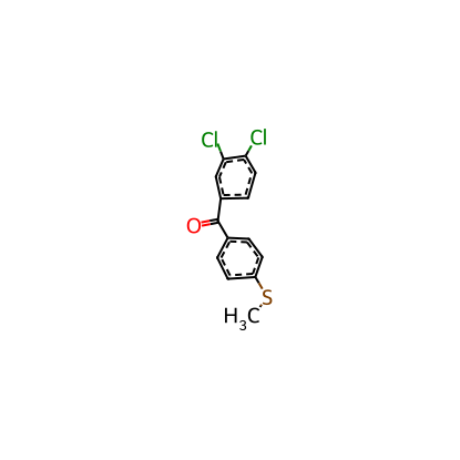 CSc1ccc(C(=O)c2ccc(Cl)c(Cl)c2)cc1